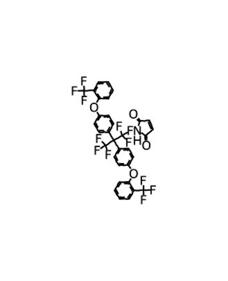 FC(F)(F)c1ccccc1Oc1ccc(C(c2ccc(Oc3ccccc3C(F)(F)F)cc2)(C(F)(F)F)C(F)(F)F)cc1.O=C1C=CC(=O)N1